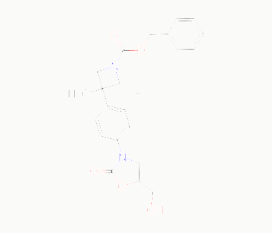 CC1(c2ccc(N3CC(CO)OC3=O)cc2F)CN(C(=O)OCc2ccccc2)C1